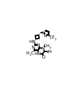 Cc1nc(N[C@H]2C[C@@H](Cn3ccc(C(F)(F)F)n3)C2)nc2c1NC(=O)C(C(C)C)N2C